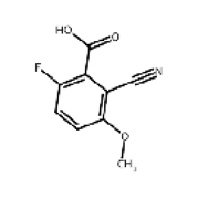 COc1ccc(F)c(C(=O)O)c1C#N